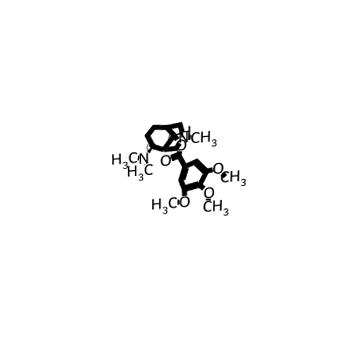 COc1cc(C(=O)O[C@@H]2C3CC[C@H](N(C)C)C2CN(C)C3)cc(OC)c1OC